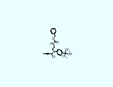 CC#CC(CC)N(CCNC(=O)OCc1ccccc1)c1ccc(C(O)(C(F)(F)F)C(F)(F)F)cc1